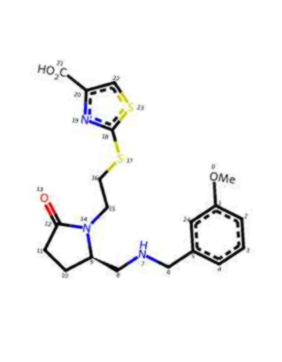 COc1cccc(CNC[C@H]2CCC(=O)N2CCSc2nc(C(=O)O)cs2)c1